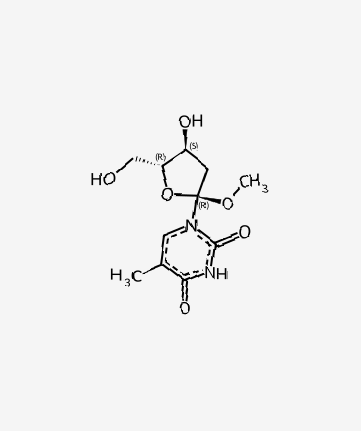 CO[C@]1(n2cc(C)c(=O)[nH]c2=O)C[C@H](O)[C@@H](CO)O1